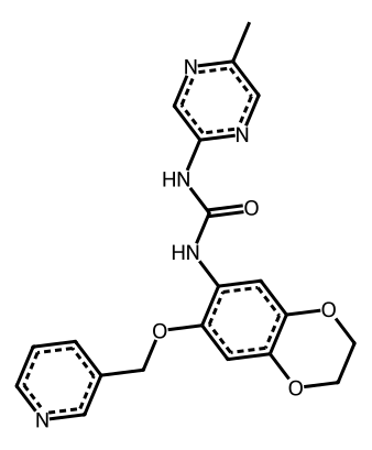 Cc1cnc(NC(=O)Nc2cc3c(cc2OCc2cccnc2)OCCO3)cn1